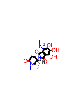 CC1(N2C(=O)c3c(N)c(O)c(O)c(O)c3C2=O)CCC(=O)NC1=O